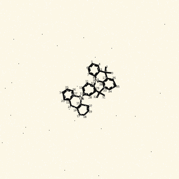 CC1(C)c2ccccc2N2c3ccc(N4C5=C(CCC=C5)Cc5ccccc54)cc3C(C)(C)c3cccc1c32